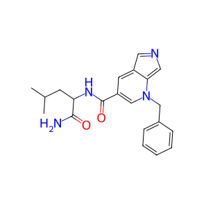 CC(C)CC(NC(=O)c1cc2cncc-2n(Cc2ccccc2)c1)C(N)=O